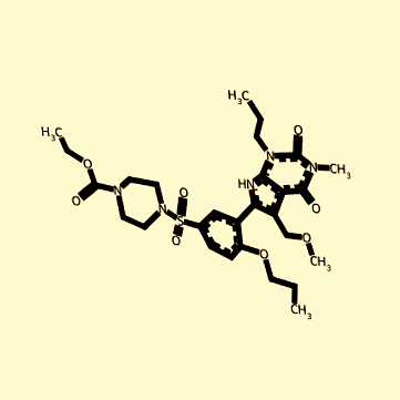 CCCOc1ccc(S(=O)(=O)N2CCN(C(=O)OCC)CC2)cc1-c1[nH]c2c(c1COC)c(=O)n(C)c(=O)n2CCC